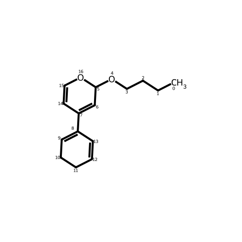 CCCCOC1C=C(C2=CCCC=C2)C=CO1